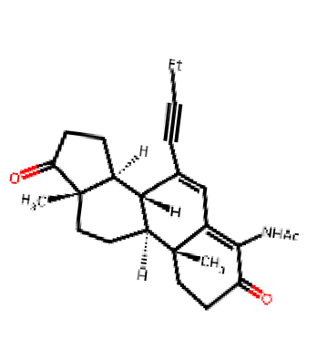 CCC#CC1=CC2=C(NC(C)=O)C(=O)CC[C@]2(C)[C@H]2CC[C@]3(C)C(=O)CC[C@H]3[C@H]12